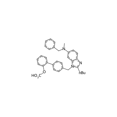 CCCCc1nc2ccc(N(C)Cc3ccccc3)cc2n1Cc1ccc(-c2ccccc2OC(=O)O)cc1